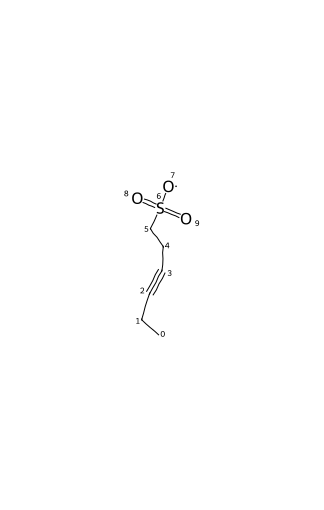 CCC#CCCS([O])(=O)=O